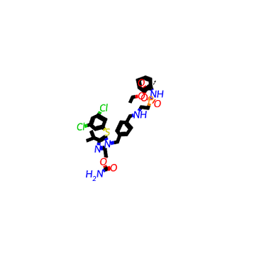 CCOC(=O)[C@H](C)NP(=O)(CCNCc1ccc(Cn2c(COC(N)=O)nc(C(C)C)c2Sc2cc(Cl)cc(Cl)c2)cc1)Oc1ccccc1